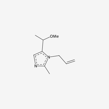 C=CCn1c(C(C)OC)cnc1C